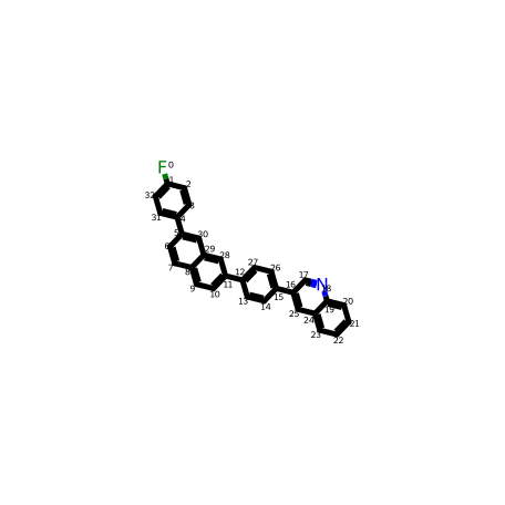 Fc1ccc(-c2ccc3ccc(-c4ccc(-c5cnc6ccccc6c5)cc4)cc3c2)cc1